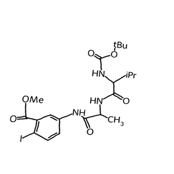 COC(=O)c1cc(NC(=O)C(C)NC(=O)C(NC(=O)OC(C)(C)C)C(C)C)ccc1I